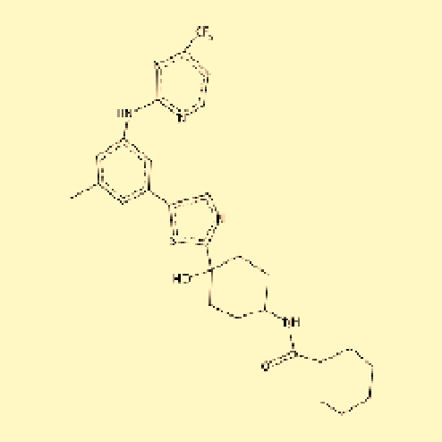 Cc1cc(Nc2nccc(C(F)(F)F)n2)cc(-c2cnc(C3(O)CCC(NC(=O)C4CCCCC4)CC3)s2)c1